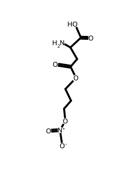 NC(CC(=O)OCCCO[N+](=O)[O-])C(=O)O